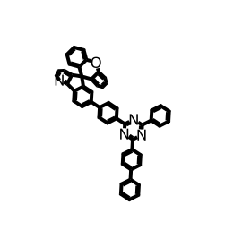 c1ccc(-c2ccc(-c3nc(-c4ccccc4)nc(-c4ccc(-c5ccc6c(c5)C5(c7ccccc7Oc7ccccc75)c5cccnc5-6)cc4)n3)cc2)cc1